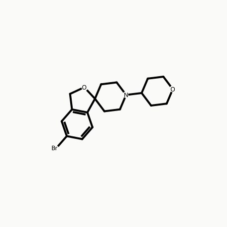 Brc1ccc2c(c1)COC21CCN(C2CCOCC2)CC1